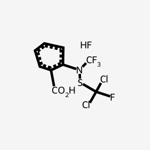 F.O=C(O)c1ccccc1N(SC(F)(Cl)Cl)C(F)(F)F